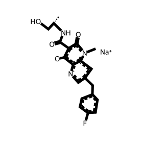 C[C@@H](CO)NC(=O)c1c([O-])c2ncc(Cc3ccc(F)cc3)cc2n(C)c1=O.[Na+]